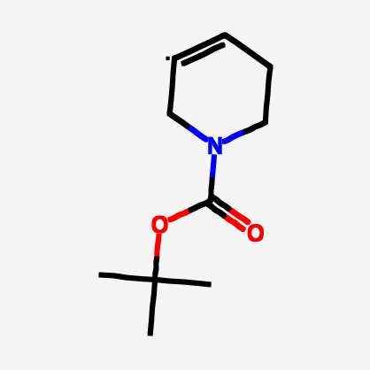 CC(C)(C)OC(=O)N1C[C]=CCC1